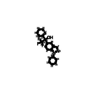 OC(c1ccc2c(cnn2-c2ccccc2)c1)(c1ccccn1)C(F)(F)F